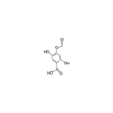 O=COc1cc(O)c(C(=O)O)cc1O